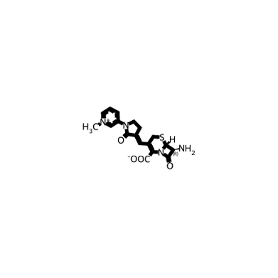 C[n+]1cccc(N2CCC(=CC3=C(C(=O)[O-])N4C(=O)[C@@H](N)[C@H]4SC3)C2=O)c1